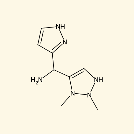 CN1NC=C(C(N)c2cc[nH]n2)N1C